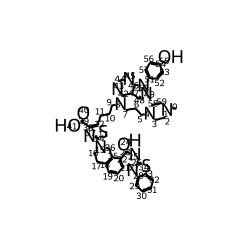 CN1CCN(CCCN(CCCc2sc(N3CCc4cccc(C(=O)Nc5nc6ccccc6s5)c4C3)nc2C(=O)O)C2N=CN=C3C2C=NN3c2ccc(O)cc2)CC1